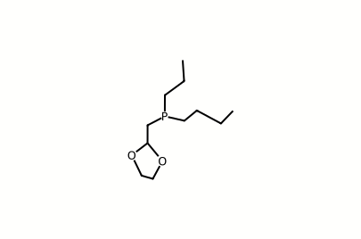 CCCCP(CCC)CC1OCCO1